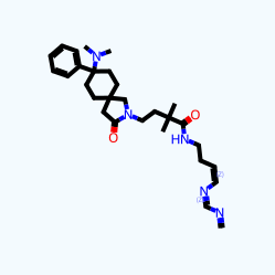 C=N/C=N\C=C/CCNC(=O)C(C)(C)CCN1CC2(CCC(c3ccccc3)(N(C)C)CC2)CC1=O